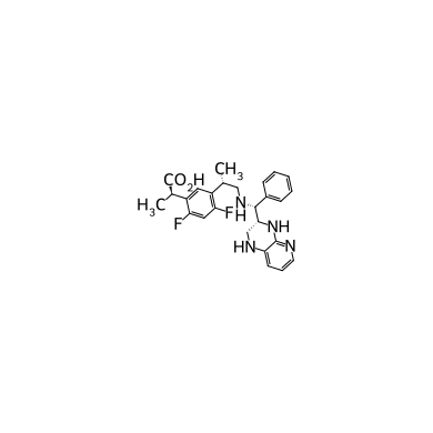 C[C@H](CN[C@H](c1ccccc1)[C@H]1CNc2cccnc2N1)c1cc([C@@H](C)C(=O)O)c(F)cc1F